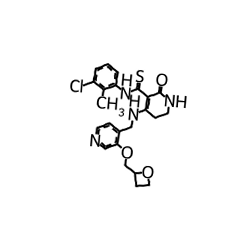 Cc1c(Cl)cccc1NC(=S)C1=C(NCc2ccncc2OCC2CCO2)CCNC1=O